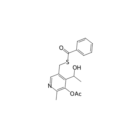 CC(=O)Oc1c(C)ncc(CSC(=O)c2ccccc2)c1C(C)O